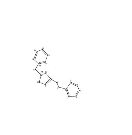 C1=C(CCc2ccccc2)CN(Cc2ccccc2)C1